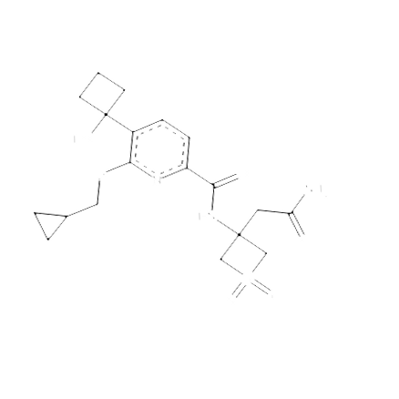 NC(=O)CC1(NC(=O)c2ccc(C3(O)CCC3)c(OCC3CC3)n2)CS(=O)(=O)C1